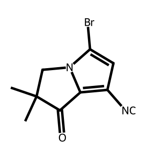 [C-]#[N+]c1cc(Br)n2c1C(=O)C(C)(C)C2